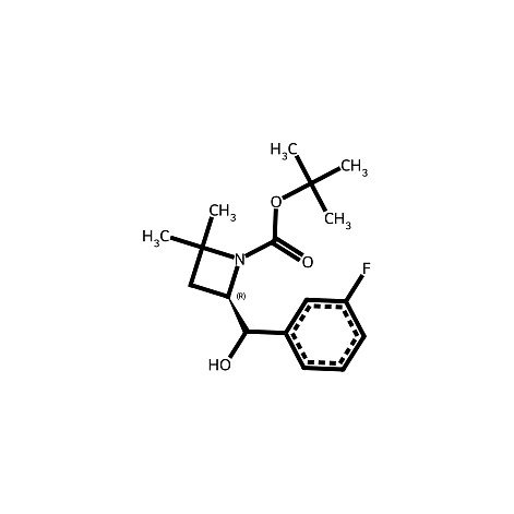 CC(C)(C)OC(=O)N1[C@@H](C(O)c2cccc(F)c2)CC1(C)C